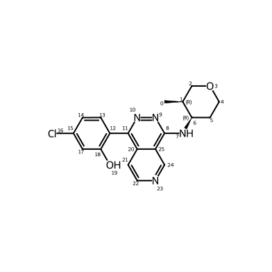 C[C@H]1COCC[C@H]1Nc1nnc(-c2ccc(Cl)cc2O)c2ccncc12